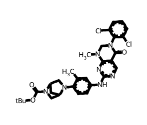 Cc1cc(Nc2ncc3c(n2)N(C)CN(c2c(Cl)cccc2Cl)C3=O)ccc1N1CC2CC1CN2C(=O)OC(C)(C)C